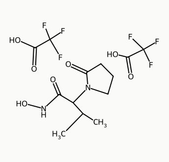 CC(C)C(C(=O)NO)N1CCCC1=O.O=C(O)C(F)(F)F.O=C(O)C(F)(F)F